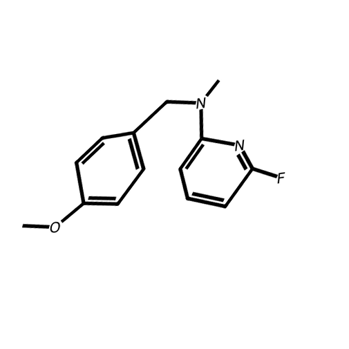 COc1ccc(CN(C)c2cccc(F)n2)cc1